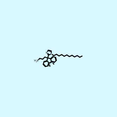 BCCCC(c1ccccc1OC)(c1ccccc1OC)c1nccn1CCCCCCCCCCCC